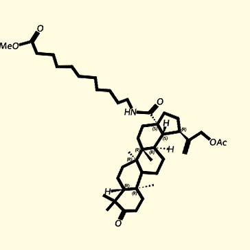 C=C(COC(C)=O)[C@@H]1CC[C@]2(C(=O)NCCCCCCCCCCC(=O)OC)CC[C@]3(C)[C@H](CCC4[C@@]5(C)CCC(=O)C(C)(C)[C@@H]5CC[C@]43C)[C@@H]12